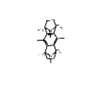 Cc1c2c(c(C)c3c1[C@@]1(C)CC[C@]3(C)N1C)[C@@]1(C)CC[C@]2(C)N1C